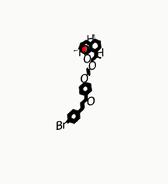 C[C@H]1[C@@H](OCCOc2ccc(C(=O)/C=C/c3ccc(Br)cc3)cc2)O[C@@H]2O[C@]3(C)CC[C@H]4[C@H](C)CC[C@@H]1[C@@]24OO3